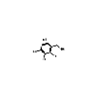 CCc1ccc(CN)c(CC)c1CC.Cl